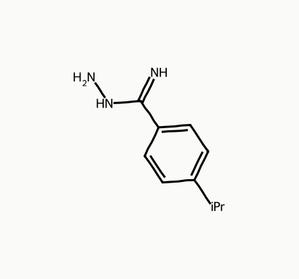 CC(C)c1ccc(C(=N)NN)cc1